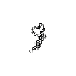 COCCOCC(C)OCC(C)OCC(C)OCC(C)OCC(C)OCC(C)OCC(C)OCC(C)OCC(C)N1C(=O)c2ccc3c4ccc5c6c(ccc(c7ccc(c2c37)C1=O)c64)C(=O)N(CCc1ccc(Cl)cc1Cl)C5=O